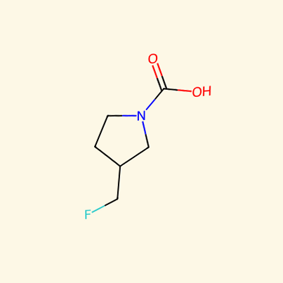 O=C(O)N1CCC(CF)C1